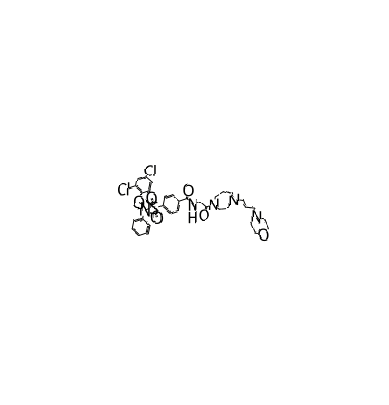 O=C(NCC(=O)N1CCCN(CCCN2CCOCC2)CC1)c1ccc(S(=O)(=O)N(Oc2ccc(Cl)cc2Cl)c2ccccc2)cc1